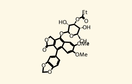 CCC(=O)O[C@H]1[C@H](O)[C@@H](C)OC(Oc2c3c(c(-c4ccc5c(c4)OCO5)c4cc(OC)c(OC)cc24)C(=O)OC3)[C@@H]1O